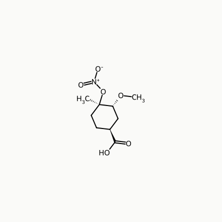 CO[C@@H]1C[C@@H](C(=O)O)CC[C@@]1(C)O[N+](=O)[O-]